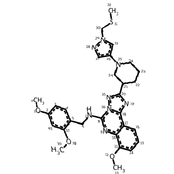 COc1ccc(CNc2nc3c(OC)cccc3c3nc(C4CCCN(c5cnn(CSC)c5)C4)nn23)c(OC)c1